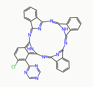 Clc1ccc2c3nc4nc(nc5[nH]c(nc6nc(nc([nH]3)c2c1-c1ncncn1)-c1ccccc1-6)c1ccccc51)-c1ccccc1-4